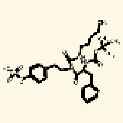 CCCCCNC(=O)N(CCc1ccc(NS(=O)(=O)O)cc1)C(=O)C(Cc1ccccc1)NC(=O)OC(C)(C)C